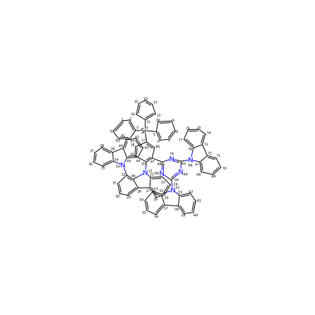 c1ccc([Si](c2ccccc2)(c2ccccc2)c2ccc(-n3c4ccccc4c4cccc(-n5c6ccccc6c6ccccc65)c43)c(-c3nc(-n4c5ccccc5c5ccccc54)nc(-n4c5ccccc5c5ccccc54)n3)c2)cc1